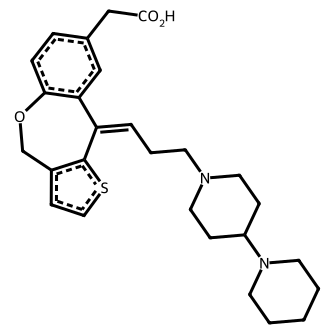 O=C(O)Cc1ccc2c(c1)C(=CCCN1CCC(N3CCCCC3)CC1)c1sccc1CO2